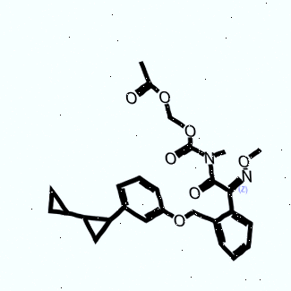 CO/N=C(\C(=O)N(C)C(=O)OCOC(C)=O)c1ccccc1COc1cccc(C2CC2C2CC2)c1